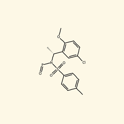 COc1ccc(Cl)cc1[C@@H](C)N(P=O)S(=O)(=O)c1ccc(C)cc1